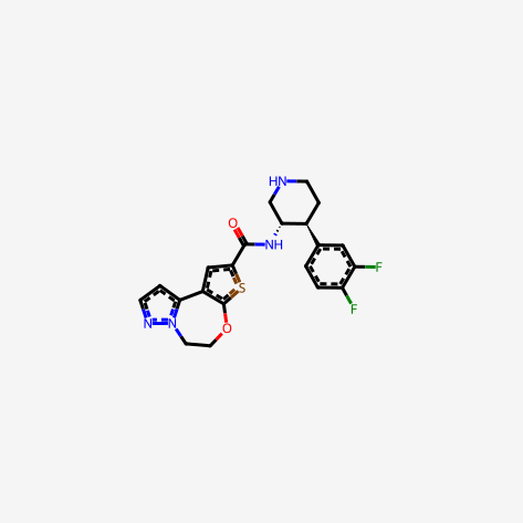 O=C(N[C@@H]1CNCC[C@H]1c1ccc(F)c(F)c1)c1cc2c(s1)OCCn1nccc1-2